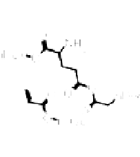 C=CC(=O)OCCCCCCCCCC.CCCCCCCCCCCC(=O)OC(=O)CCC(N)C(=O)OCCCCCC